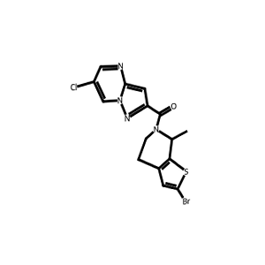 CC1c2sc(Br)cc2CCN1C(=O)c1cc2ncc(Cl)cn2n1